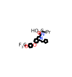 CC(C)/C(=N/C(=O)c1cc2ccc(Oc3ccc(OC(F)(F)F)cc3)cc2c(CC2CCCC2)n1)C(=O)O